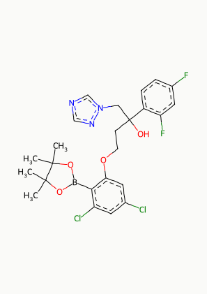 CC1(C)OB(c2c(Cl)cc(Cl)cc2OCCC(O)(Cn2cncn2)c2ccc(F)cc2F)OC1(C)C